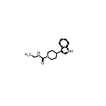 CCNC(=O)N1CCC(c2c[nH]c3ccccc23)CC1